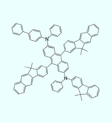 CC1(C)c2ccccc2-c2ccc(N(c3ccccc3)c3ccc4c(-c5ccc6c(c5)C(C)(C)c5cc7ccccc7cc5-6)c5cc(N(c6ccccc6)c6ccc(-c7ccccc7)cc6)ccc5c(-c5ccc6c(c5)C(C)(C)c5cc7ccccc7cc5-6)c4c3)cc21